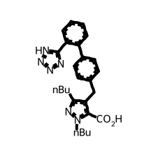 CCCCc1nn(CCCC)c(C(=O)O)c1Cc1ccc(-c2ccccc2-c2nnn[nH]2)cc1